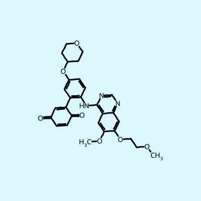 COCCOc1cc2ncnc(Nc3ccc(OC4CCOCC4)cc3C3=CC(=O)C=CC3=O)c2cc1OC